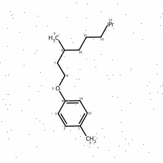 [CH2]c1ccc(OCCC(C)CCCC(C)C)cc1